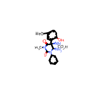 COc1ccc(O)c(C2(NC(=O)O)C(=O)N(C)C(=O)N(c3ccccc3)C2N)c1